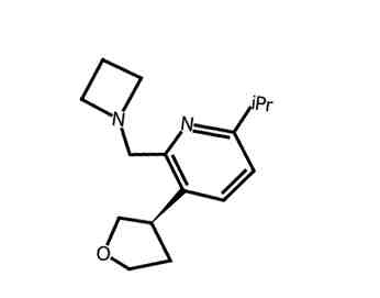 CC(C)c1ccc([C@H]2CCOC2)c(CN2CCC2)n1